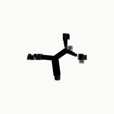 CC[C@@H](C)[C@@H](CC)C(=O)NC(C)=O